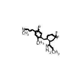 C/C=C(\N)C1CC(F)(F)CCC1Cc1cc(F)c(/C=C/C=N\C)cc1C